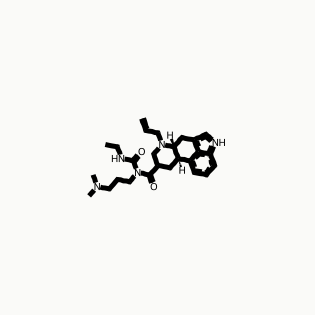 C=CCN1CC(C(=O)N(CCCN(C)C)C(=O)NCC)C[C@@H]2c3cccc4[nH]cc(c34)C[C@H]21